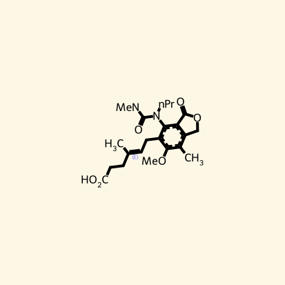 CCCN(C(=O)NC)c1c(C/C=C(\C)CCC(=O)O)c(OC)c(C)c2c1C(=O)OC2